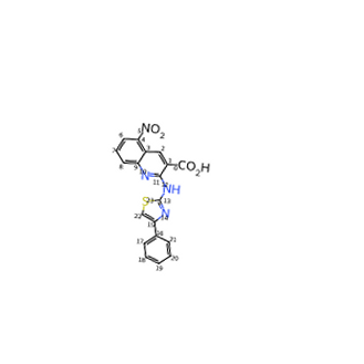 O=C(O)c1cc2c([N+](=O)[O-])cccc2nc1Nc1nc(-c2ccccc2)cs1